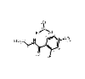 CCN(CC)CC.CCOC(=O)CNC(=O)c1ccc([N+](=O)[O-])cc1F